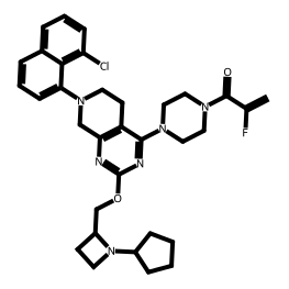 C=C(F)C(=O)N1CCN(c2nc(OCC3CCN3C3CCCC3)nc3c2CCN(c2cccc4cccc(Cl)c24)C3)CC1